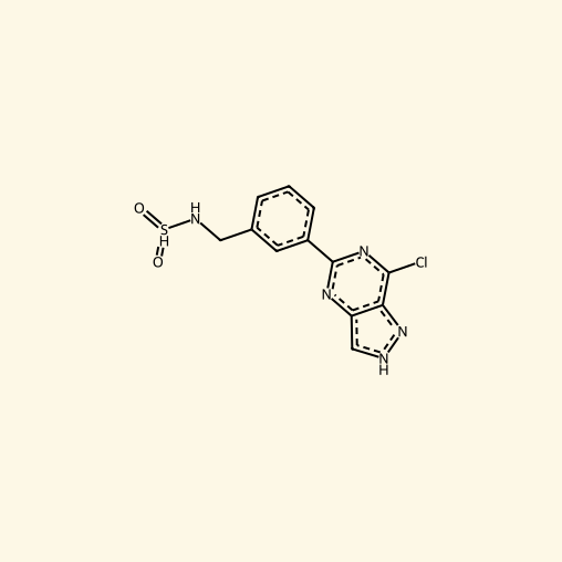 O=[SH](=O)NCc1cccc(-c2nc(Cl)c3n[nH]cc3n2)c1